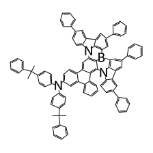 CC(C)(c1ccccc1)c1ccc(N(c2ccc(C(C)(C)c3ccccc3)cc2)c2ccc3c(c2)c2ccccc2c2c4c5c(cc32)-n2c3ccc(-c6ccccc6)cc3c3cc(-c6ccccc6)cc(c32)B5c2cc(-c3ccccc3)cc3c5cc(-c6ccccc6)ccc5n-4c23)cc1